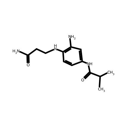 CC(C)C(=O)Nc1ccc(NCCC(N)=O)c(N)c1